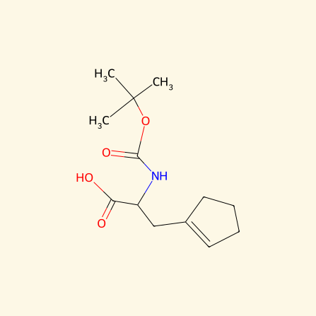 CC(C)(C)OC(=O)NC(CC1=CCCC1)C(=O)O